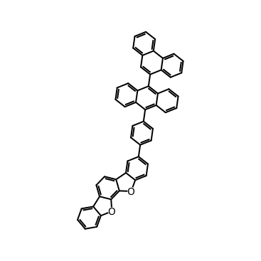 c1ccc2c(c1)cc(-c1c3ccccc3c(-c3ccc(-c4ccc5oc6c(ccc7c8ccccc8oc76)c5c4)cc3)c3ccccc13)c1ccccc12